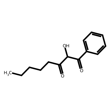 CCCCCC(=O)C(O)C(=O)c1ccccc1